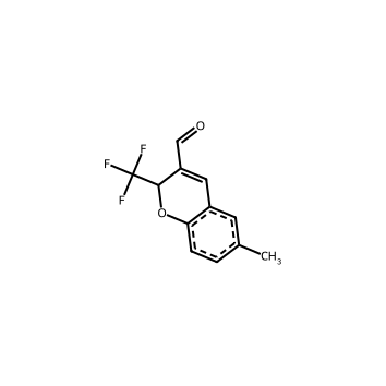 Cc1ccc2c(c1)C=C(C=O)C(C(F)(F)F)O2